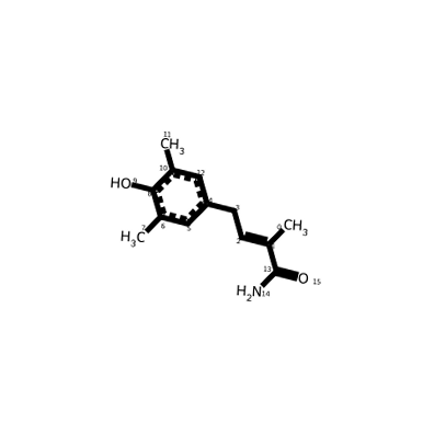 C/C(=C\Cc1cc(C)c(O)c(C)c1)C(N)=O